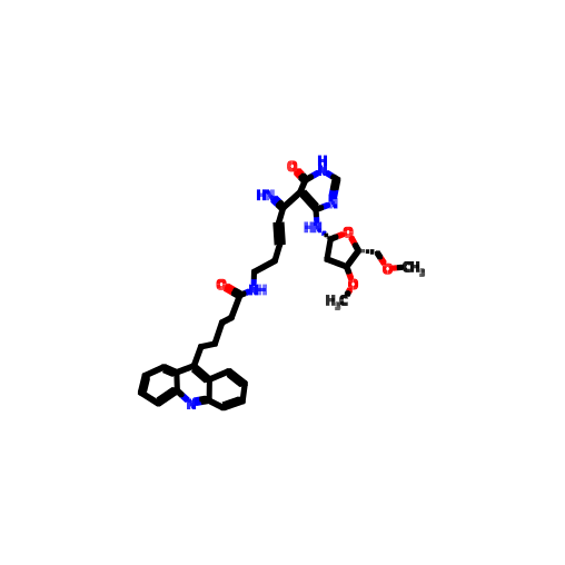 COC[C@H]1O[C@@H](Nc2nc[nH]c(=O)c2C(=N)C#CCCNC(=O)CCCCc2c3ccccc3nc3ccccc23)CC1OC